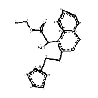 CCOC(=O)C(O)c1c(CCc2ccccc2)ccc2ccccc12